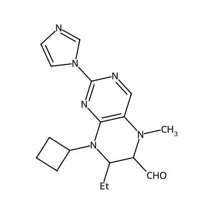 CCC1C(C=O)N(C)c2cnc(-n3ccnc3)nc2N1C1CCC1